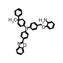 CC1(c2cc#ccc2)C=CC(N(c2ccc(COc3ccccc3N)cc2)c2ccc(-c3nc4ccccc4o3)cc2)=CC1